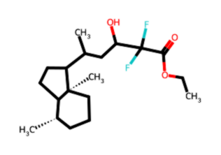 CCOC(=O)C(F)(F)C(O)CC(C)C1CCC2[C@@H](C)CCC[C@]12C